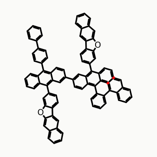 c1ccc(-c2ccc(-c3c4ccccc4c(-c4ccc5c(c4)oc4cc6ccccc6cc45)c4cc(-c5ccc6c(-c7ccccc7-c7cccc8ccccc78)c7ccccc7c(-c7ccc8c(c7)oc7cc9ccccc9cc78)c6c5)ccc34)cc2)cc1